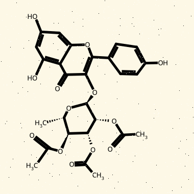 CC(=O)O[C@@H]1[C@@H](OC(C)=O)[C@H](C)O[C@@H](Oc2c(-c3ccc(O)cc3)oc3cc(O)cc(O)c3c2=O)[C@@H]1OC(C)=O